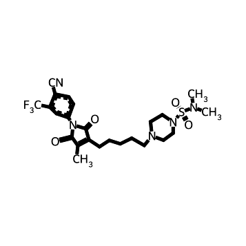 CC1=C(CCCCCN2CCN(S(=O)(=O)N(C)C)CC2)C(=O)N(c2ccc(C#N)c(C(F)(F)F)c2)C1=O